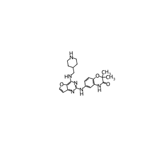 CC1(C)Oc2ccc(Nc3nc(NCC4CCNCC4)c4occc4n3)cc2NC1=O